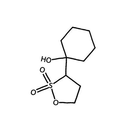 O=S1(=O)OCCC1C1(O)CCCCC1